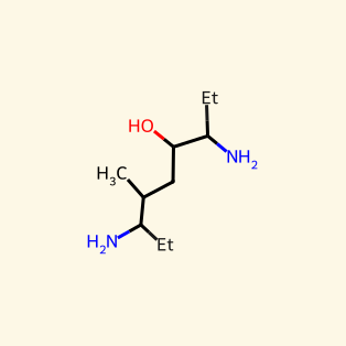 CCC(N)C(C)CC(O)C(N)CC